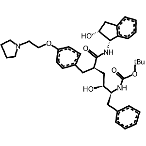 CC(C)(C)OC(=O)N[C@@H](Cc1ccccc1)[C@@H](O)C[C@@H](Cc1ccc(OCCN2CCCC2)cc1)C(=O)N[C@H]1c2ccccc2C[C@H]1O